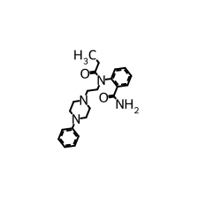 CCC(=O)N(CCN1CCN(c2ccccc2)CC1)c1ccccc1C(N)=O